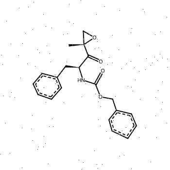 C[C@@]1(C(=O)[C@H](Cc2ccccc2)NC(=O)OCc2ccccc2)CO1